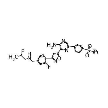 CC(F)CNCc1ccc(-c2cc(-c3nc(-c4ccc(S(=O)(=O)C(C)C)cc4)cnc3N)on2)c(F)c1